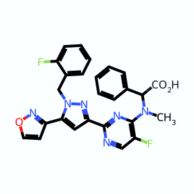 CN(c1nc(-c2cc(-c3ccon3)n(Cc3ccccc3F)n2)ncc1F)C(C(=O)O)c1ccccc1